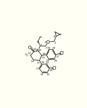 CC[C@@H](COCC1CC1)N1C(=O)[C@@H](C)CC(c2cccc(Cl)c2)C1c1ccc(Cl)cc1